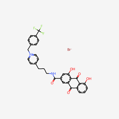 O=C(NCCCc1cc[n+](Cc2ccc(C(F)(F)F)cc2)cc1)c1cc(O)c2c(c1)C(=O)c1cccc(O)c1C2=O.[Br-]